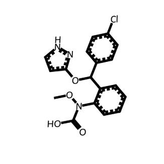 CON(C(=O)O)c1ccccc1C(Oc1cc[nH]n1)c1ccc(Cl)cc1